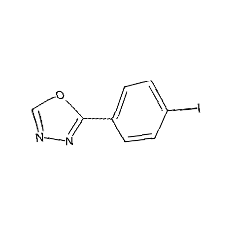 Ic1ccc(-c2nnco2)cc1